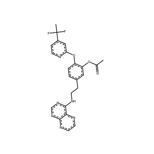 CC(=O)Oc1cc(CCNc2ncnc3nccnc23)ccc1Oc1cc(C(C)(F)F)ccn1